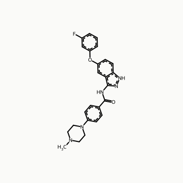 CN1CCN(c2ccc(C(=O)Nc3n[nH]c4ccc(Oc5cccc(F)c5)cc34)cc2)CC1